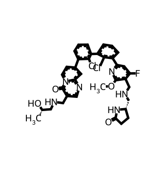 COc1nc(-c2cccc(-c3cccc(-c4ccn5c(=O)c(CNC[C@H](C)O)cnc5c4)c3Cl)c2Cl)cc(F)c1CNC[C@@H]1CCC(=O)N1